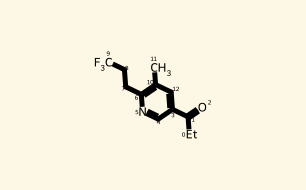 CCC(=O)c1cnc(CCC(F)(F)F)c(C)c1